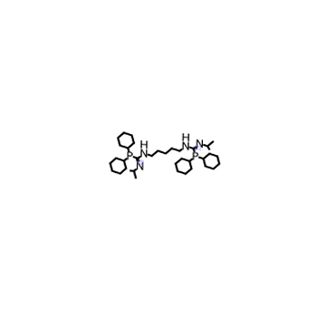 CC(C)/N=C(/NCCCCCN/C(=N/C(C)C)P(C1CCCCC1)C1CCCCC1)P(C1CCCCC1)C1CCCCC1